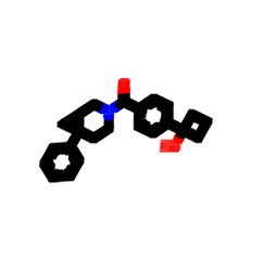 O=C(c1ccc(C2(O)CCC2)cc1)N1CCC2(c3ccccc3)CC2C1